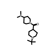 CN(C)C1CCN(C(=O)C2CCN(C(C)(C)C)CC2)CC1